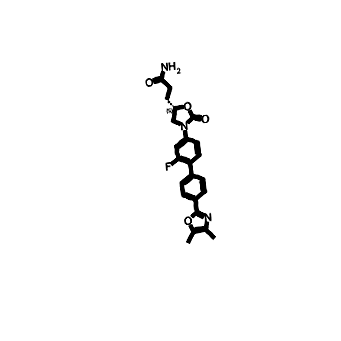 Cc1nc(-c2ccc(-c3ccc(N4C[C@H](CCC(N)=O)OC4=O)cc3F)cc2)oc1C